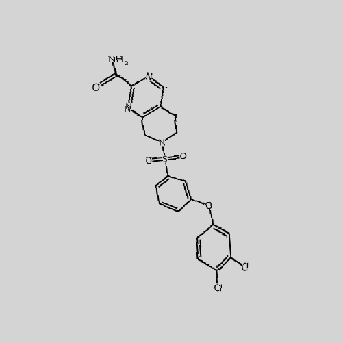 NC(=O)c1n[c]c2c(n1)CN(S(=O)(=O)c1cccc(Oc3ccc(Cl)c(Cl)c3)c1)CC2